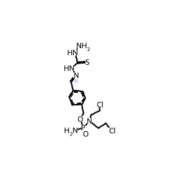 NNC(=S)N/N=C/c1ccc(COP(N)(=O)N(CCCl)CCCl)cc1